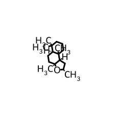 C[C@@H]1C[C@H]2C3(C)CCCC(C)(C)[C@@H]3CC[C@]2(C)O1